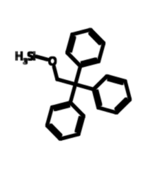 [SiH3]OCC(c1ccccc1)(c1ccccc1)c1ccccc1